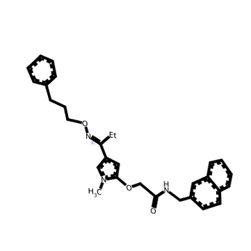 CC/C(=N\OCCCc1ccccc1)c1cc(OCC(=O)NCc2ccc3ccccc3c2)n(C)c1